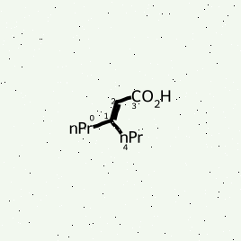 CCCC(=CC(=O)O)CCC